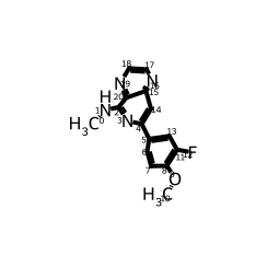 CNc1nc(-c2ccc(OC)c(F)c2)cc2nccnc12